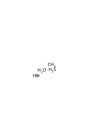 Br.C.O.S